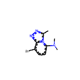 Cc1nnc2c(C(C)C)ccc(N(C)C)n12